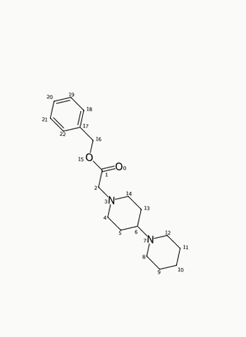 O=C(CN1CCC(N2CCCCC2)CC1)OCc1ccccc1